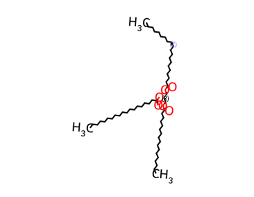 CCCCCCCC/C=C\CCCCCCCCCC(=O)OC[C@@H](COC(=O)CCCCCCCCCCCCCCCC)OC(=O)CCCCCCCCCCCCCCCCCC